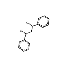 ClN(CN(Cl)c1ccccc1)c1ccccc1